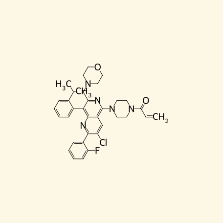 C=CC(=O)N1CCN(c2nc(CN3CCOCC3)c(-c3ccccc3C(C)C)c3nc(-c4ccccc4F)c(Cl)cc23)CC1